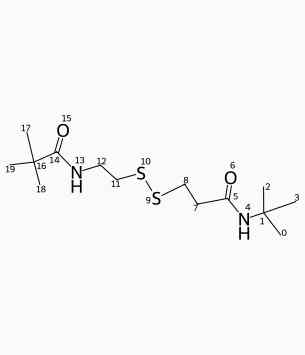 CC(C)(C)NC(=O)CCSSCCNC(=O)C(C)(C)C